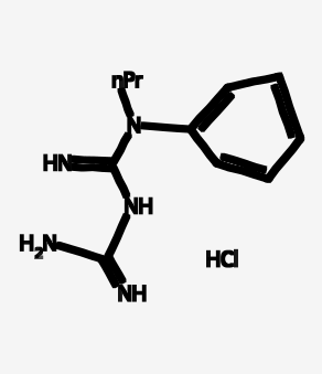 CCCN(C(=N)NC(=N)N)c1ccccc1.Cl